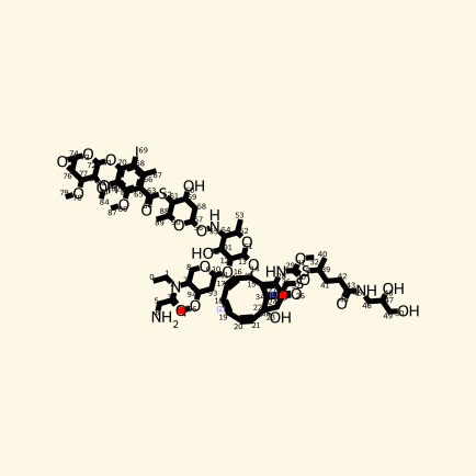 CCN(C(=O)CN)C1COC(OC2C(O[C@H]3C#C/C=C\C#C[C@]4(O)CC(=O)C(NC(=O)OC)=C3/C4=C\CSSC(C)CCC(=O)NCC(O)CO)OC(C)C(NOC3CC(O)C(SC(=O)c4c(C)c(I)c(OC5OC6OC6C(OC)C5O)c(OC)c4OC)C(C)O3)C2O)CC1OC